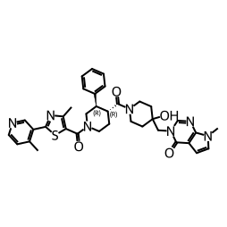 Cc1ccncc1-c1nc(C)c(C(=O)N2CC[C@@H](C(=O)N3CCC(O)(Cn4cnc5c(ccn5C)c4=O)CC3)[C@H](c3ccccc3)C2)s1